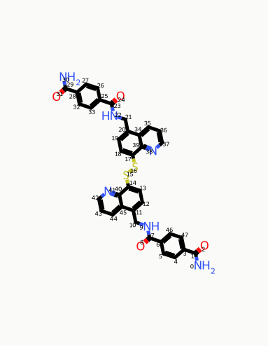 NC(=O)c1ccc(C(=O)NCc2ccc(SSc3ccc(CNC(=O)c4ccc(C(N)=O)cc4)c4cccnc34)c3ncccc23)cc1